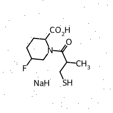 CC(CS)C(=O)N1CC(F)CCC1C(=O)O.[NaH]